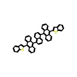 c1ccc2sc(-c3c4ccccc4c(-c4cccc5c(-c6c7ccccc7c(-c7cc8ccccc8s7)c7ccccc67)cccc45)c4ccccc34)cc2c1